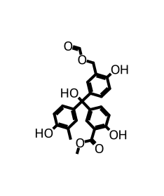 COC(=O)c1cc(C(O)(c2ccc(O)c(C)c2)c2ccc(O)c(COC=O)c2)ccc1O